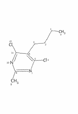 CCCCc1c(Cl)nc(C)nc1Cl